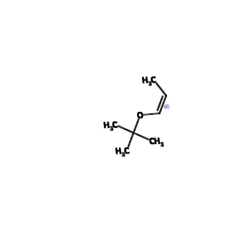 C/C=C\OC(C)(C)C